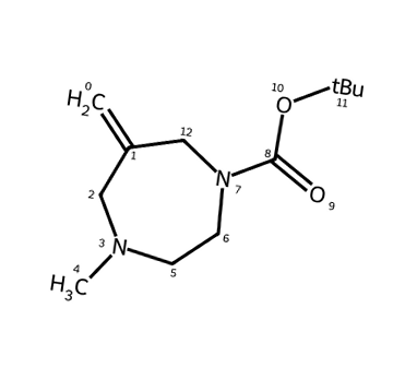 C=C1CN(C)CCN(C(=O)OC(C)(C)C)C1